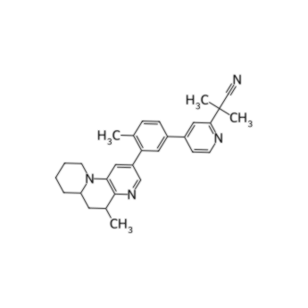 Cc1ccc(-c2ccnc(C(C)(C)C#N)c2)cc1-c1cnc2c(c1)N1CCCCC1CC2C